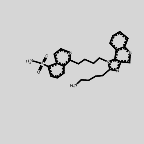 NCCCCc1nc2cnc3ccccc3c2n1CCCCc1nccc2c(S(N)(=O)=O)cccc12